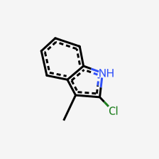 Cc1c(Cl)[nH]c2ccccc12